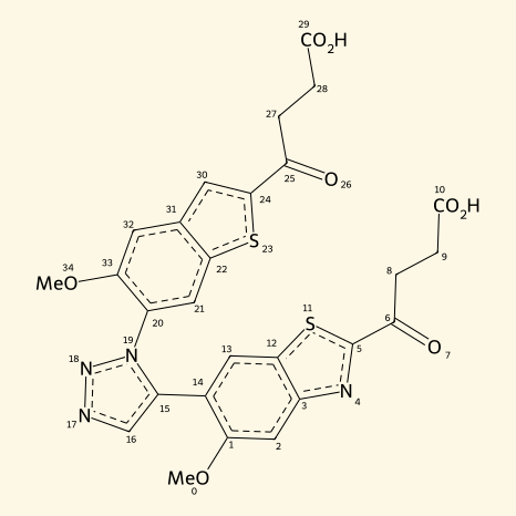 COc1cc2nc(C(=O)CCC(=O)O)sc2cc1-c1cnnn1-c1cc2sc(C(=O)CCC(=O)O)cc2cc1OC